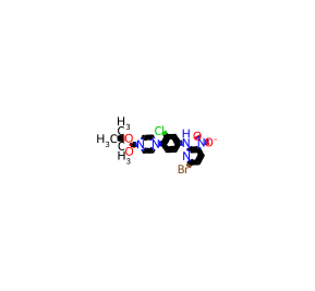 CC(C)(C)OC(=O)N1CCN(c2ccc(Nc3nc(Br)ccc3[N+](=O)[O-])cc2Cl)CC1